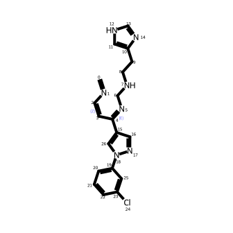 C=N/C=C\C(=N/CNCCc1c[nH]cn1)c1cnn(-c2cccc(Cl)c2)c1